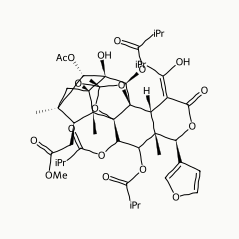 COC(=O)C[C@H]1[C@@]2(C)C[C@@]34O[C@]5(C)O[C@]6([C@@H]7/C(=C(/O)C(C)C)C(=O)O[C@@H](c8ccoc8)[C@]7(C)C(OC(=O)C(C)C)C(OC(=O)C(C)C)[C@]6(O5)[C@]13C)[C@H](OC(=O)C(C)C)[C@@]4(O)[C@H]2OC(C)=O